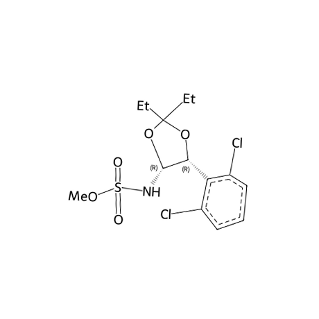 CCC1(CC)O[C@@H](NS(=O)(=O)OC)[C@@H](c2c(Cl)cccc2Cl)O1